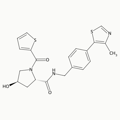 Cc1ncsc1-c1ccc(CNC(=O)[C@@H]2C[C@@H](O)CN2C(=O)c2cccs2)cc1